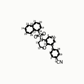 N#Cc1ccc(-c2cncc3c2OCCN3S(=O)(=O)c2cccc3ccccc23)cc1